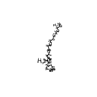 Bc1c(CN2CCS(=O)(=O)CC2)nnn1CCOCCOCCOCCOCCN